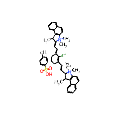 CC1C(=CC=C2CCCC(C=CC3C(C)c4c(ccc5ccccc45)[N+]3(C)C)=C2Cl)[N+](C)(C)c2ccc3ccccc3c21.Cc1ccc(S(=O)(=O)O)cc1